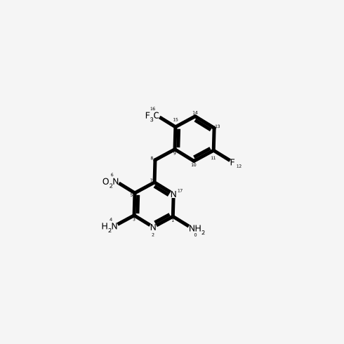 Nc1nc(N)c([N+](=O)[O-])c(Cc2cc(F)ccc2C(F)(F)F)n1